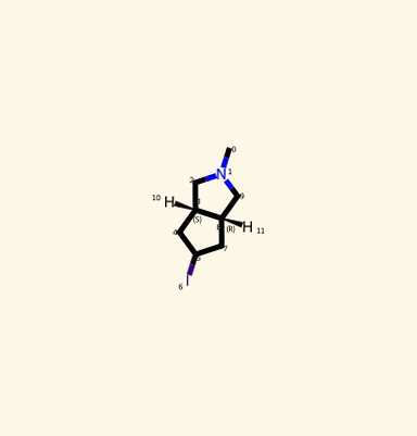 CN1C[C@H]2CC(I)C[C@H]2C1